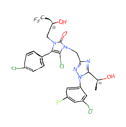 C[C@H](O)c1nc(Cn2c(Cl)c(-c3ccc(Cl)cc3)n(C[C@H](O)C(F)(F)F)c2=O)nn1-c1cc(F)cc(Cl)c1